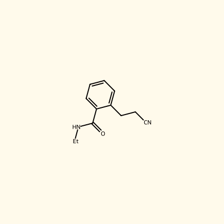 CCNC(=O)c1ccccc1CCC#N